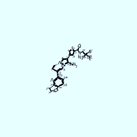 C=C/C(=C\n1ncc(-c2csc(C(=O)NCC(F)(F)F)c2)c1N)c1ccc2c(c1)CCO2